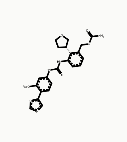 COc1cc(NC(=O)Nc2cccc(COC(N)=O)c2[C@@H]2CCOC2)ccc1-c1cnco1